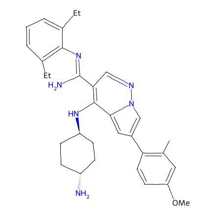 CCc1cccc(CC)c1/N=C(\N)c1cnn2cc(-c3ccc(OC)cc3C)cc2c1N[C@H]1CC[C@H](N)CC1